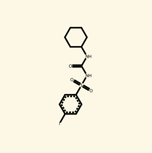 O=C(NC1CCCCC1)NS(=O)(=O)c1ccc(I)cc1